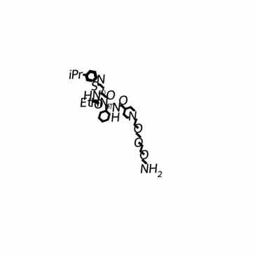 CCC(=O)N[C@@H](Cc1nc2ccc(C(C)C)cc2s1)C(=O)N[C@H](CNC(=O)C1CCN(CCOCCOCCOCCN)CC1)C1CCCCC1